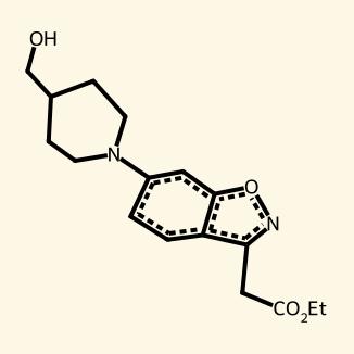 CCOC(=O)Cc1noc2cc(N3CCC(CO)CC3)ccc12